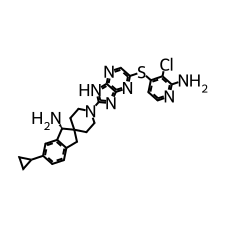 Nc1nccc(Sc2cnc3[nH]c(N4CCC5(CC4)Cc4ccc(C6CC6)cc4[C@H]5N)nc3n2)c1Cl